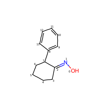 ON=C1CCCCC1c1ccccc1